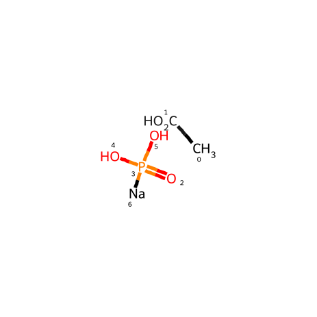 CC(=O)O.O=[P](O)(O)[Na]